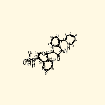 O=C1Nc2c(C3=CC=CC=CN3)cccc2C1c1ccc(N[SH](=O)=O)c2ncccc12